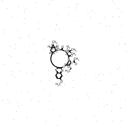 CC[C@@H]1[C@@H]2CN(C(=O)[C@H](C(C)(C)C)NC(=O)O[C@H]3[C@H](CCCCCc4nc5ccc(OC)cc5nc4O2)C[C@@H]2[C@H](C)[C@@H]23)[C@@H]1C(C)=O